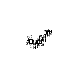 Cc1cncnc1CNC(=O)Cn1ncc(N[C@@H]2C[C@H](C)C(C)(C)[C@H](C)[C@H]2C)c(Cl)c1=O